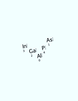 [Al].[As].[Ga].[In].[P]